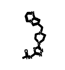 CC(=O)Nc1nnc(N2CCN(Cc3cc4ncccn4c3)CC2)s1